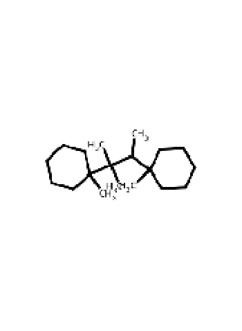 CC(C1(C)CCCCC1)C(C)(C)C1(C)CCCCC1